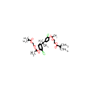 C=C(C)C(=O)OCCOC(C)Oc1ccc(C(C)(C)c2ccc(OC(C)OCCOC(=O)C(=C)C)c(Cl)c2)cc1Cl